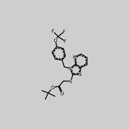 CC(C)(C)OC(=O)CSc1nc2cccnc2n1Cc1ccc(OC(F)(F)F)cc1